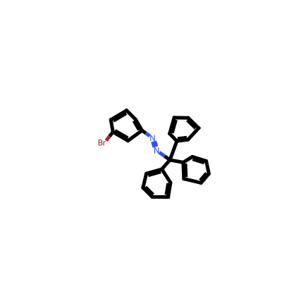 Brc1cccc(/N=N/C(c2ccccc2)(c2ccccc2)c2ccccc2)c1